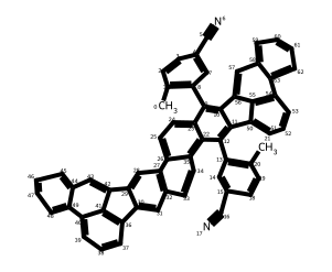 Cc1ccc(C#N)cc1-c1c2c(c(-c3cc(C#N)ccc3C)c3c1ccc1c4cc5c(cc4ccc13)-c1cccc3c1c-5cc1ccccc13)-c1cccc3c1c-2cc1ccccc13